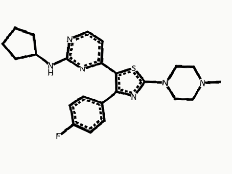 CN1CCN(c2nc(-c3ccc(F)cc3)c(-c3ccnc(NC4CCCC4)n3)s2)CC1